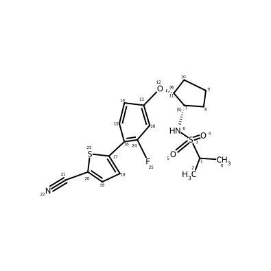 CC(C)S(=O)(=O)N[C@H]1CCC[C@H]1Oc1ccc(-c2ccc(C#N)s2)c(F)c1